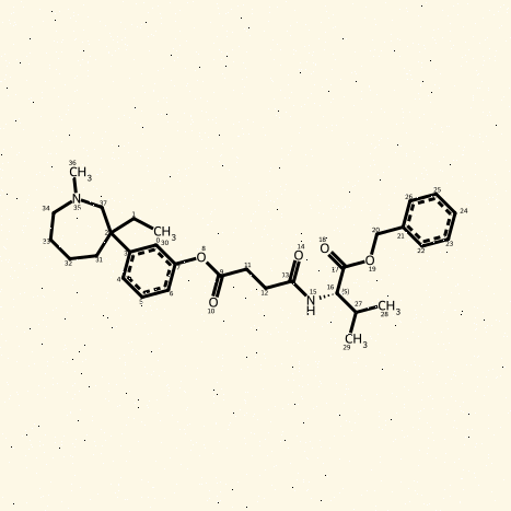 CCC1(c2cccc(OC(=O)CCC(=O)N[C@H](C(=O)OCc3ccccc3)C(C)C)c2)CCCCN(C)C1